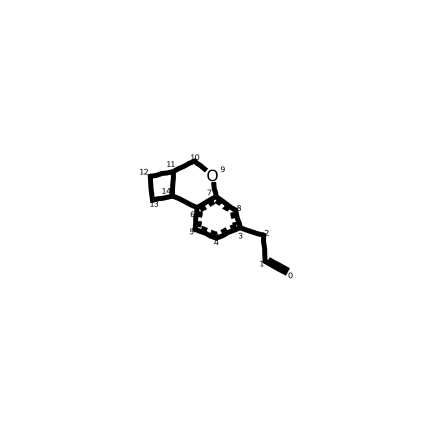 C=CCc1ccc2c(c1)OCC1CCC21